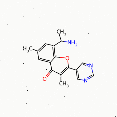 Cc1cc(C(C)N)c2oc(-c3cncnc3)c(C)c(=O)c2c1